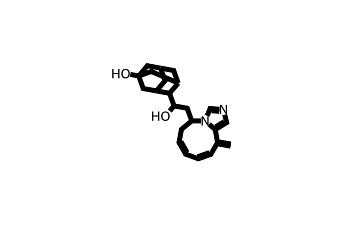 C=C1/C=C\C=C/CC(CC(O)C2C3CC4CC2CC(O)(C4)C3)n2cncc21